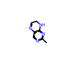 Cc1ncc2c(n1)NCC=N2